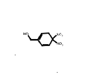 O=[N+]([O-])C1([N+](=O)[O-])C=CC(CO)=CC1